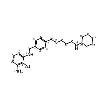 CCc1c(N)ccnc1NCc1ccc(CNCCCNC2CCCCC2)cc1